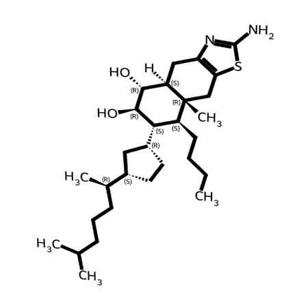 CCCC[C@H]1[C@H]([C@@H]2CC[C@H]([C@H](C)CCCC(C)C)C2)[C@@H](O)[C@H](O)[C@H]2Cc3nc(N)sc3C[C@@]21C